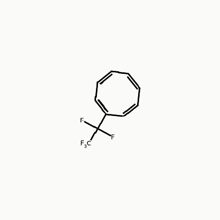 FC(F)(F)C(F)(F)C1=C/C=C\C=C/C=C\1